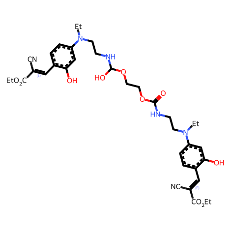 CCOC(=O)/C(C#N)=C/c1ccc(N(CC)CCNC(=O)OCCOC(O)NCCN(CC)c2ccc(/C=C(\C#N)C(=O)OCC)c(O)c2)cc1O